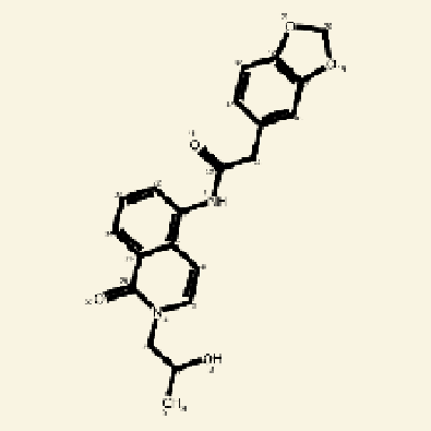 CC(O)Cn1ccc2c(NC(=O)Cc3ccc4c(c3)OCO4)cccc2c1=O